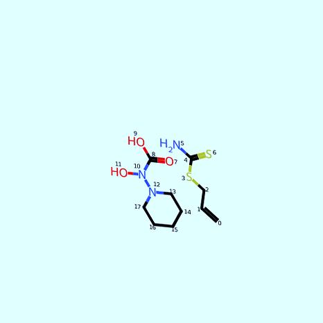 C=CCSC(N)=S.O=C(O)N(O)N1CCCCC1